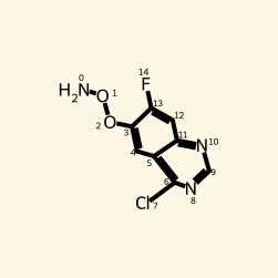 NOOc1cc2c(Cl)ncnc2cc1F